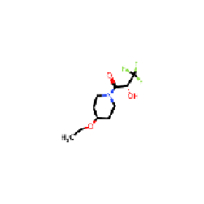 CCOC1CCN(C(=O)[C@@H](O)C(F)(F)F)CC1